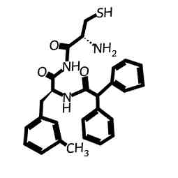 Cc1cccc(C[C@H](NC(=O)C(c2ccccc2)c2ccccc2)C(=O)NC(=O)[C@@H](N)CS)c1